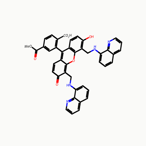 COC(=O)c1ccc(C(=O)O)c(-c2c3ccc(=O)c(CNc4cccc5cccnc45)c-3oc3c(CNc4cccc5cccnc45)c(O)ccc23)c1